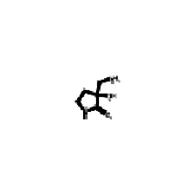 NCC1(O)CCNC1=O